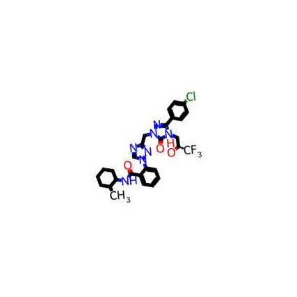 CC1CCCCC1NC(=O)c1ccccc1-n1cnc(Cn2nc(-c3ccc(Cl)cc3)n(C[C@H](O)C(F)(F)F)c2=O)n1